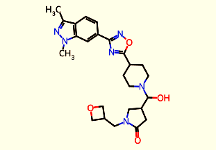 Cc1nn(C)c2cc(-c3noc(C4CCN(C(O)C5CC(=O)N(CC6COC6)C5)CC4)n3)ccc12